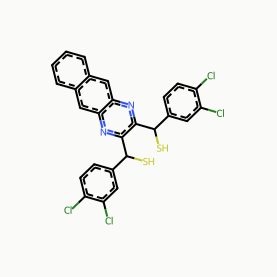 SC(c1ccc(Cl)c(Cl)c1)c1nc2cc3ccccc3cc2nc1C(S)c1ccc(Cl)c(Cl)c1